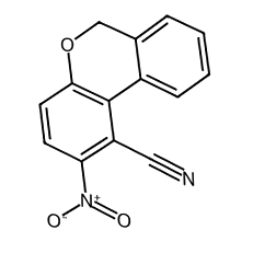 N#Cc1c([N+](=O)[O-])ccc2c1-c1ccccc1CO2